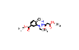 CC=[N+](NC(=O)CC(=O)OC)c1cc(C(=O)OC)ccc1C